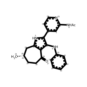 CC(=O)Nc1cc(-c2[nH]c3c(c2Nc2ccccc2)C(=O)CC[C@H](C)C3)ccn1